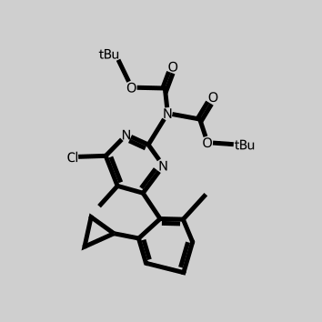 Cc1cccc(C2CC2)c1-c1nc(N(C(=O)OC(C)(C)C)C(=O)OC(C)(C)C)nc(Cl)c1C